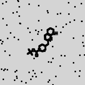 CC(C)(C)OC(=O)N1CCC(Cc2ccc3c(n2)NCCC3)CC1